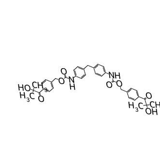 CC(C)(O)C(=O)c1ccc(COC(=O)Nc2ccc(Cc3ccc(NC(=O)OCc4ccc(C(=O)C(C)(C)O)cc4)cc3)cc2)cc1